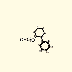 O=COC1CCCCC1c1ccccc1